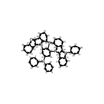 c1ccc(N(c2ccccc2)c2cc3c4c(c2)-n2c5c(cccc5c5c2c2ccccc2n5-c2ccccc2)B4c2cccc4c5oc6ccccc6c5n-3c24)cc1